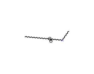 CCCCCCCC/C=C\CCCCCCCC(=O)OCCCCCCCCCCCCCCCCCCC